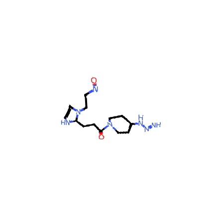 N=NNC1CCN(C(=O)CCC2NC=CN2CCN=O)CC1